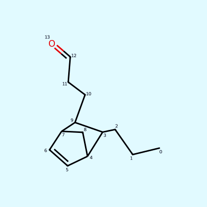 CCCC1C2C=CC(C2)C1CCC=O